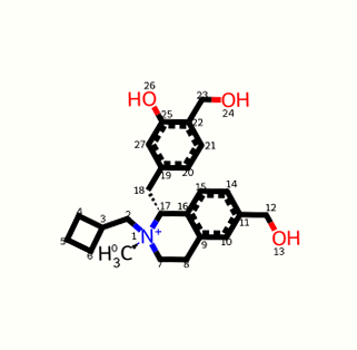 C[N@@+]1(CC2CCC2)CCc2cc(CO)ccc2[C@H]1Cc1ccc(CO)c(O)c1